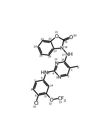 Cc1cnc(Nc2ccc(Cl)c(OC(F)(F)F)c2)nc1Nn1c(=O)oc2ccccc21